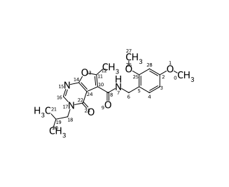 COc1ccc(CNC(=O)c2c(C)oc3ncn(CC(C)C)c(=O)c23)c(OC)c1